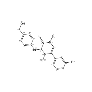 CCN1C=C(c2cccc(F)c2)N(C#N)C(Nc2ccc(CO)cc2)C1=O